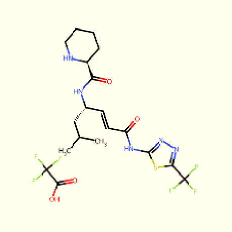 CC(C)C[C@@H](/C=C/C(=O)Nc1nnc(C(F)(F)F)s1)NC(=O)[C@@H]1CCCCN1.O=C(O)C(F)(F)F